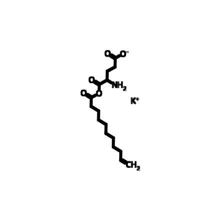 C=CCCCCCCCCC(=O)OC(=O)C(N)CCC(=O)[O-].[K+]